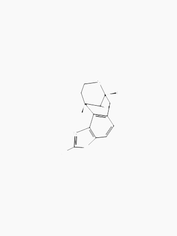 Cc1nc2c3c(ccc2o1)C[C@H]1NCC[C@]3(C)C1C